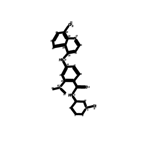 CCN1CCCC(NC(=O)c2ccc(Nc3ccnc4c(C(F)(F)F)cccc34)cc2N(C)C)C1